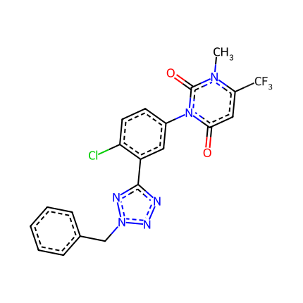 Cn1c(C(F)(F)F)cc(=O)n(-c2ccc(Cl)c(-c3nnn(Cc4ccccc4)n3)c2)c1=O